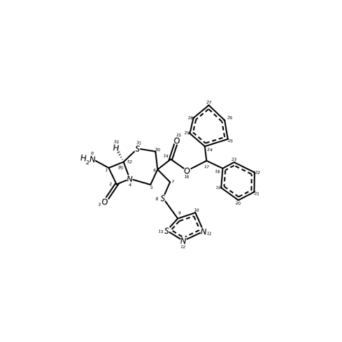 NC1C(=O)N2CC(CSc3cnns3)(C(=O)OC(c3ccccc3)c3ccccc3)CS[C@H]12